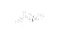 O=C(Nc1ncco1)[C@H]1CCCN1c1nc2c(c(Nc3cc(C4CC4)[nH]n3)n1)CCC2